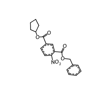 O=C(OC1CCCC1)c1ccc([N+](=O)[O-])c(C(=O)OCc2ccccc2)c1